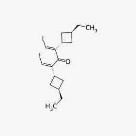 CC[C@H]1C[C@H](C(=CI)C(=O)C(=CI)[C@H]2C[C@H](CC)C2)C1